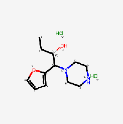 CC[C@H](O)C(c1ccco1)N1CCNCC1.Cl.Cl